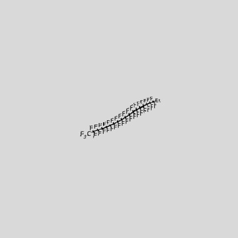 [CH2]CC(F)(F)C(F)(F)C(F)(F)C(F)(F)C(F)(F)C(F)(F)C(F)(F)C(F)(F)C(F)(F)C(F)(F)C(F)(F)C(F)(F)C(F)(F)C(F)(F)C(F)(F)C(F)(F)C(F)(F)C(F)(F)F